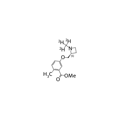 [2H]C([2H])([2H])N1CC[C@H]1COc1ccc(C)c(C(=O)OC)c1